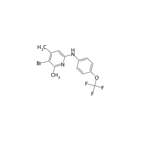 Cc1cc(Nc2ccc(OC(F)(F)F)cc2)nc(C)c1Br